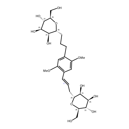 COc1cc(CCC[C@H]2O[C@H](CO)[C@@H](O)[C@H](O)[C@@H]2O)c(OC)cc1/C=C/C[C@H]1O[C@H](CO)[C@@H](O)[C@H](O)[C@@H]1O